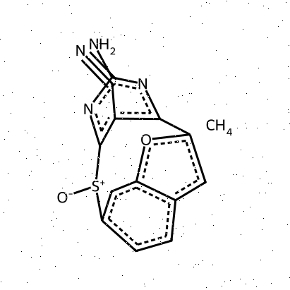 C.N#Cc1c2nc(N)nc1[S+]([O-])c1ccc3cc-2oc3c1